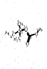 CC(C)OC(=O)O[Si](C)(C)C